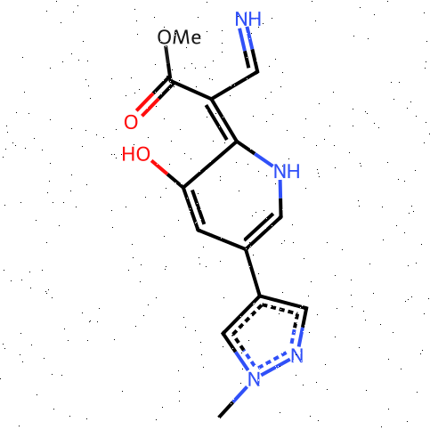 COC(=O)/C(C=N)=C1/NC=C(c2cnn(C)c2)C=C1O